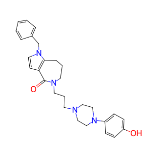 O=C1c2ccn(Cc3ccccc3)c2CCCN1CCCN1CCN(c2ccc(O)cc2)CC1